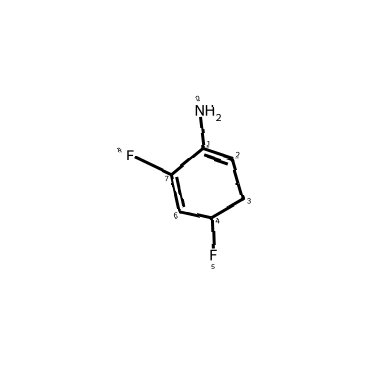 NC1=CCC(F)C=C1F